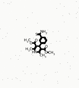 COC(=O)C1=C(C)NC(C)=C(C(=O)OC)C1c1cccc(C(N)=S)c1